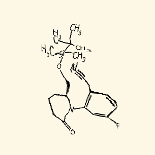 CC(C)(C)[Si](C)(C)OC[C@@H]1CCC(=O)N1c1cc(F)ccc1C#N